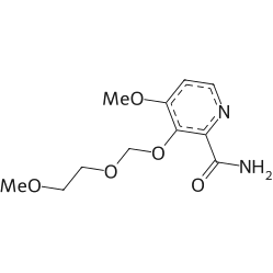 COCCOCOc1c(OC)ccnc1C(N)=O